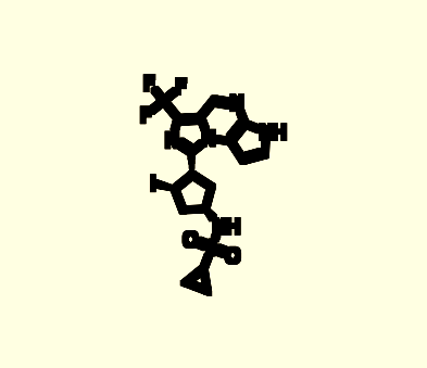 O=S(=O)(N[C@H]1C[C@@H](I)[C@H](c2nc(C(F)(F)F)c3cnc4[nH]ccc4n23)C1)C1CC1